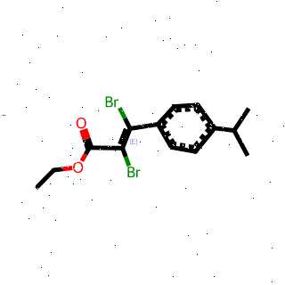 CCOC(=O)/C(Br)=C(\Br)c1ccc(C(C)C)cc1